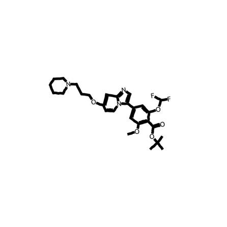 COc1cc(-c2cnc3cc(OCCCN4CCCCC4)ccn23)cc(OC(F)F)c1C(=O)OC(C)(C)C